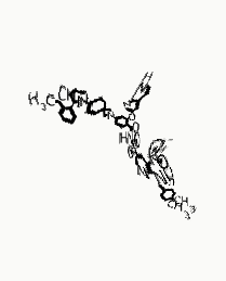 CC(C)c1ccccc1[C@H]1CCCN1C1CCC2(CC1)CN(c1ccc(C(=O)NS(=O)(=O)c3cnc(NCC4CCC(C)(C)CC4)c([N+](=O)[O-])c3)c(Oc3cnc4[nH]ccc4c3)c1)C2